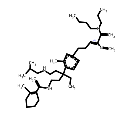 C=N/C(=C\CCc1ccc(C(CC)(CCNCC(C)C)CCNC(=C)C2=C(C)CCCC2)c(C)c1)C(=C)N(CCC)CCCC